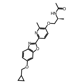 CC(=O)N[C@@H](C)COc1ccc(-c2nc3ccc(OCC4CC4)cc3o2)nc1C